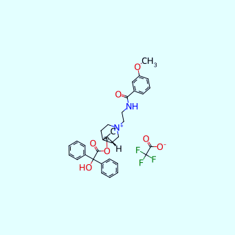 COc1cccc(C(=O)NCC[N+]23CCC(CC2)[C@@H](OC(=O)C(O)(c2ccccc2)c2ccccc2)C3)c1.O=C([O-])C(F)(F)F